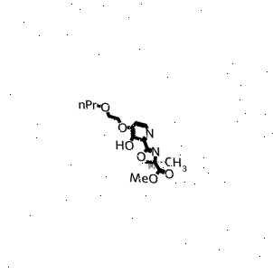 CCCOCCOc1ccnc(C2=N[C@@](C)(C(=O)OC)CO2)c1O